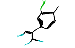 Cc1ccc(C(=CF)C(F)F)cc1Cl